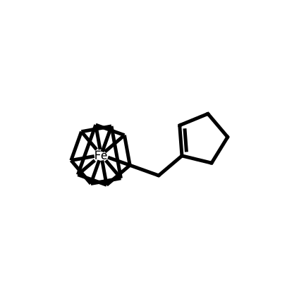 C1=C(C[C]23[CH]4[CH]5[CH]6[CH]2[Fe]56432789[CH]3[CH]2[CH]7[CH]8[CH]39)CCC1